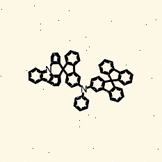 c1ccc(N(c2ccc3c(c2)-c2ccccc2C32c3ccccc3-c3ccccc32)c2ccc3c(c2)-c2ccccc2C32c3ccccc3-n3c4ccccc4c4cccc2c43)cc1